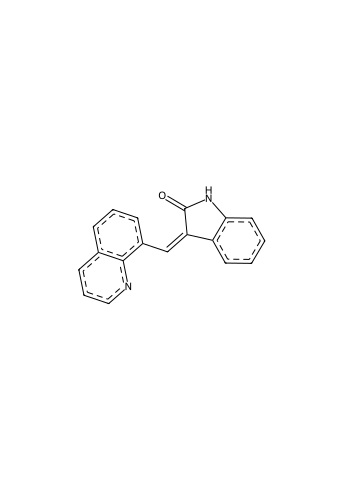 O=C1Nc2ccccc2C1=Cc1cccc2cccnc12